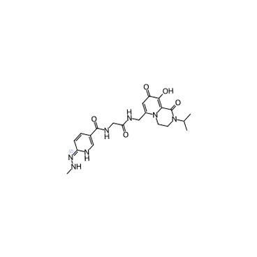 CN/N=c1/ccc(C(=O)NCC(=O)NCc2cc(=O)c(O)c3n2CCN(C(C)C)C3=O)c[nH]1